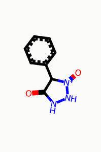 O=C1NN[N+](=O)C1c1ccccc1